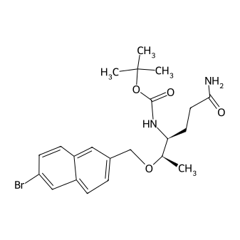 C[C@@H](OCc1ccc2cc(Br)ccc2c1)[C@H](CCC(N)=O)NC(=O)OC(C)(C)C